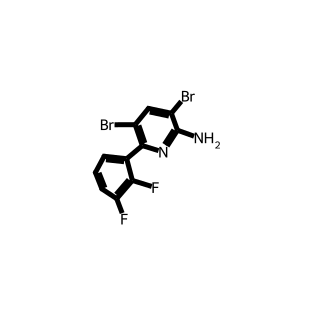 Nc1nc(-c2cccc(F)c2F)c(Br)cc1Br